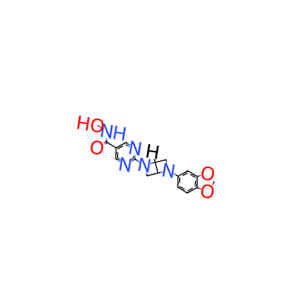 O=C(NO)c1cnc(N2CC3[C@H]2CN3c2ccc3c(c2)OCO3)nc1